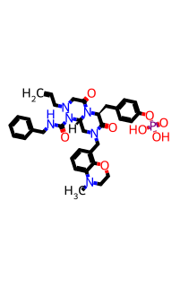 C=CCN1CC(=O)N2[C@@H](Cc3ccc(OP(=O)(O)O)cc3)C(=O)N(Cc3cccc4c3OCCN4C)C[C@@H]2N1C(=O)NCc1ccccc1